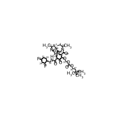 CC1=NO[C@@]2(CC[C@H](C)N3C[C@H]2n2cc(C(=O)NCc4ccc(F)cc4F)c(=O)c(OCOC(=O)OCC[N+](C)(C)C)c2C3=O)C1